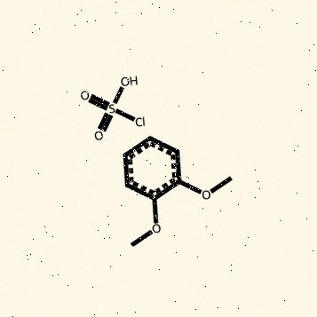 COc1ccccc1OC.O=S(=O)(O)Cl